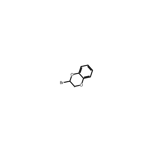 BrC1[C]Oc2ccccc2O1